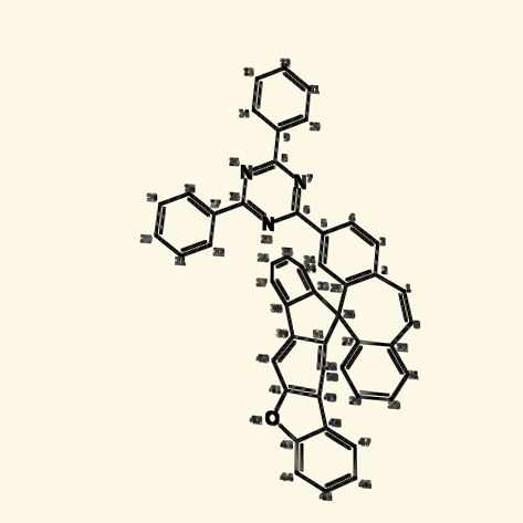 C1=Cc2ccc(-c3nc(-c4ccccc4)nc(-c4ccccc4)n3)cc2C2(c3ccccc31)c1ccccc1-c1cc3oc4ccccc4c3cc12